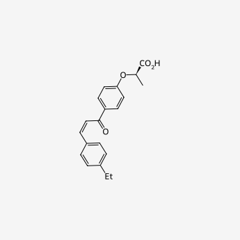 CCc1ccc(/C=C\C(=O)c2ccc(O[C@H](C)C(=O)O)cc2)cc1